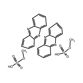 COS(=O)(=O)O.COS(=O)(=O)O.c1ccc2nc3ccccc3nc2c1.c1ccc2nc3ccccc3nc2c1